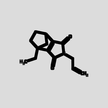 C=CCN1C(=O)C2=C(C1=O)C1(CC)CCC2C1